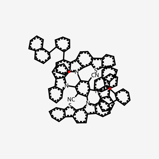 N#Cc1c(-n2c3ccccc3c3ccccc32)c(-n2c3cccc(-c4ccccc4-c4cccc5ccccc45)c3c3ccc4c5ccccc5sc4c32)c(C#N)c(-n2c3ccccc3c3ccccc32)c1-n1c2cc(-c3ccccc3-c3cccc4ccccc34)ccc2c2ccc3c4ccccc4sc3c21